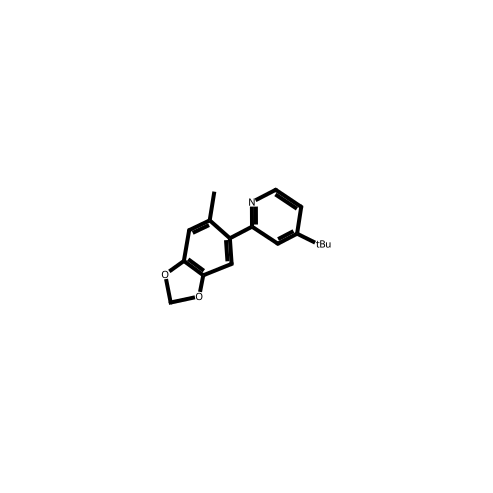 Cc1cc2c(cc1-c1cc(C(C)(C)C)ccn1)OCO2